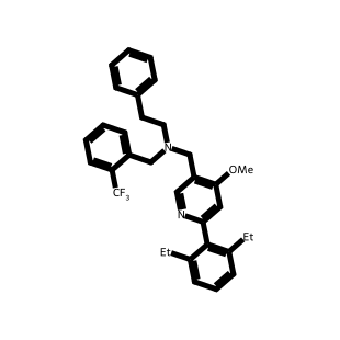 CCc1cccc(CC)c1-c1cc(OC)c(CN(CCc2ccccc2)Cc2ccccc2C(F)(F)F)cn1